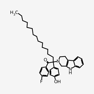 CCCCCCCCCCCCCCC(C(=O)c1ccc(F)cc1)(c1ccc(O)cc1)N1CCc2c([nH]c3ccccc23)C1